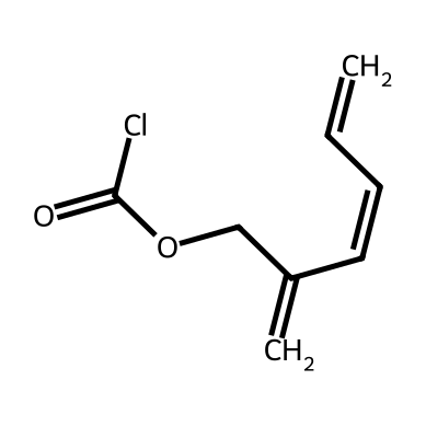 C=C/C=C\C(=C)COC(=O)Cl